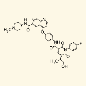 C[C@H](CO)n1cc(C(=O)Nc2ccc(Oc3ccnc4cnc(C(=O)NC5CCN(C)CC5)cc34)cc2)c(=O)n(-c2ccc(F)cc2)c1=O